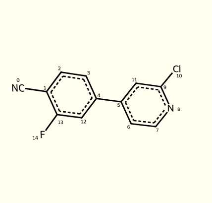 N#Cc1ccc(-c2ccnc(Cl)c2)cc1F